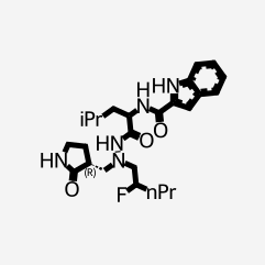 CCCC(F)CN(C[C@H]1CCNC1=O)NC(=O)C(CC(C)C)NC(=O)c1cc2ccccc2[nH]1